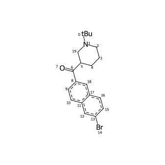 CC(C)(C)N1CCCC(C(=O)c2ccc3cc(Br)ccc3c2)C1